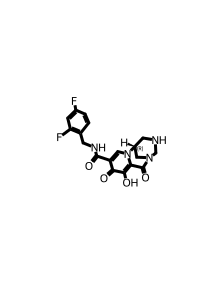 O=C(NCc1ccc(F)cc1F)c1cn2c(c(O)c1=O)C(=O)N1CNC[C@@H]2C1